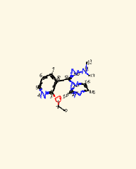 CCOc1ncccc1C(=NN(C)C)n1ccnc1